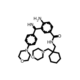 N=C(c1ccc(N2CCOCC2)cc1)c1cc(C(=O)NCC2(CN3CCOCC3)CCCCC2)ccc1N